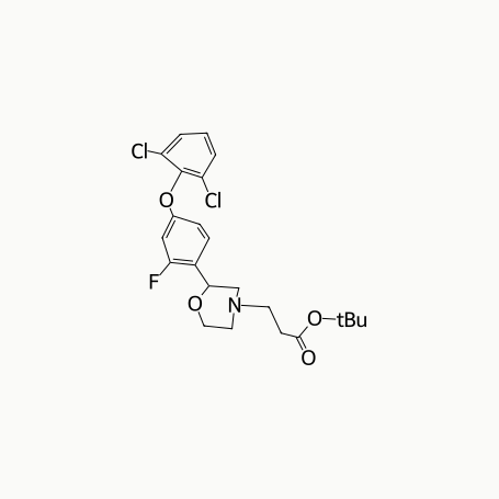 CC(C)(C)OC(=O)CCN1CCOC(c2ccc(Oc3c(Cl)cccc3Cl)cc2F)C1